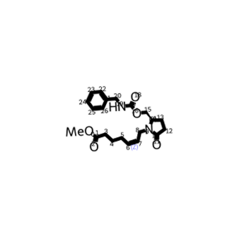 COC(=O)CCC/C=C\CN1C(=O)CC[C@@H]1COC(=O)NCc1ccccc1